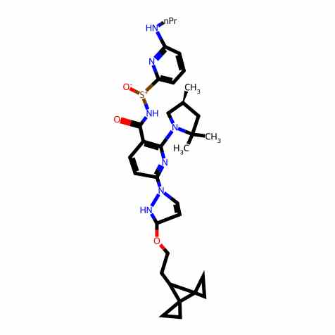 CCCNc1cccc([S+]([O-])NC(=O)c2ccc(N3C=CC(OCCC4C5(CC5)C45CC5)N3)nc2N2C[C@@H](C)CC2(C)C)n1